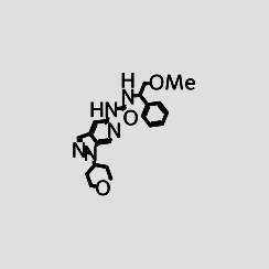 COCC(NC(=O)Nc1cc2cnn(C3CCOCC3)c2cn1)c1ccccc1